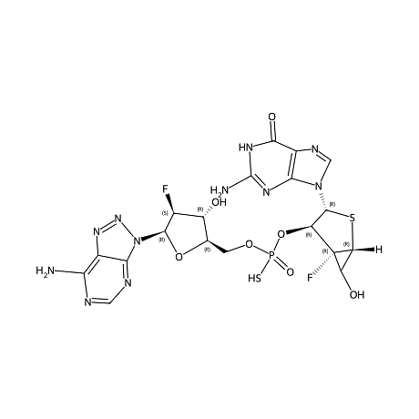 Nc1nc2c(ncn2[C@@H]2S[C@@H]3C(O)[C@@]3(F)[C@H]2OP(=O)(S)OC[C@H]2O[C@@H](n3nnc4c(N)ncnc43)[C@@H](F)[C@@H]2O)c(=O)[nH]1